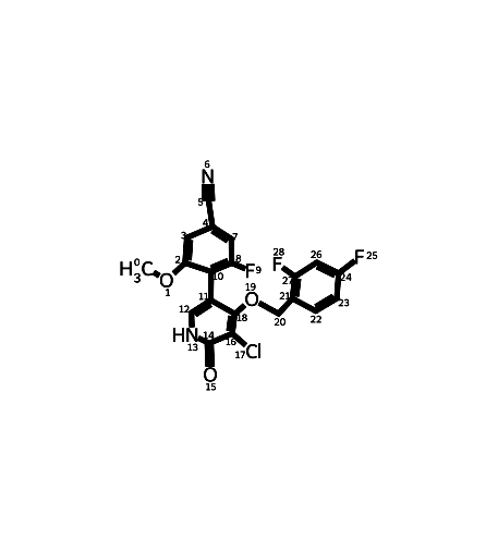 COc1cc(C#N)cc(F)c1-c1c[nH]c(=O)c(Cl)c1OCc1ccc(F)cc1F